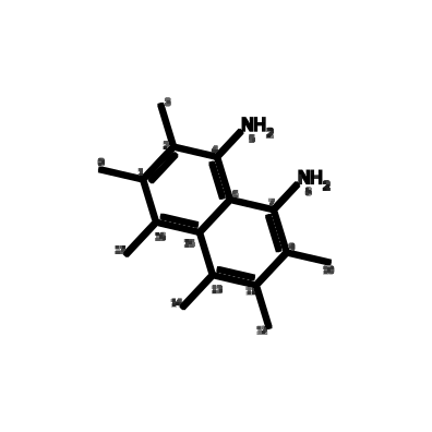 Cc1c(C)c(N)c2c(N)c(C)c(C)c(C)c2c1C